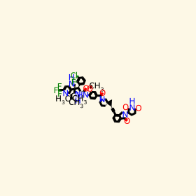 COc1cc(C(=O)N2CCC[C@@]3(C[C@@H]3C#Cc3cccc4c3CN(C3CCC(=O)NC3=O)C4=O)C2)ccc1NC(=O)[C@@H]1N[C@@H](CC(C)(C)C)[C@@]2(CNc3cc(C(F)(F)F)ncc32)[C@H]1c1cccc(Cl)c1F